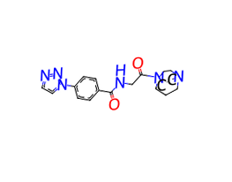 O=C(NCC(=O)N1CCN2CCC1CC2)c1ccc(-n2ccnn2)cc1